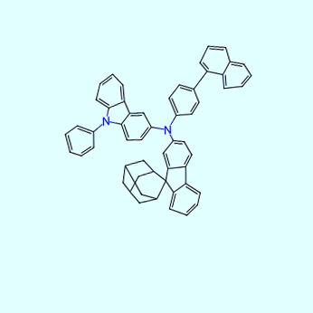 c1ccc(-n2c3ccccc3c3cc(N(c4ccc(-c5cccc6ccccc56)cc4)c4ccc5c(c4)C4(c6ccccc6-5)C5CC6CC(C5)CC4C6)ccc32)cc1